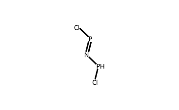 ClP=NPCl